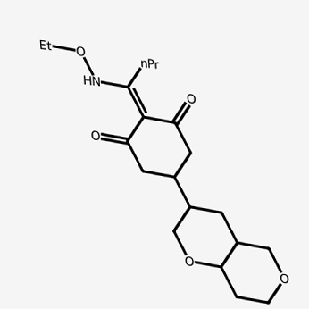 CCCC(NOCC)=C1C(=O)CC(C2COC3CCOCC3C2)CC1=O